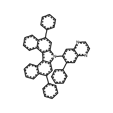 c1ccc(-c2cc3nccnc3cc2-n2c3cc(-c4ccccc4)c4ccccc4c3c3c4ccccc4c(-c4ccccc4)cc32)cc1